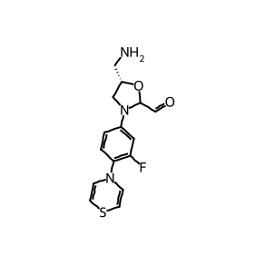 NC[C@H]1CN(c2ccc(N3C=CSC=C3)c(F)c2)C(C=O)O1